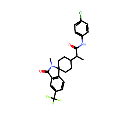 CC(C(=O)Nc1ccc(Cl)cc1)C1CCC2(CC1)c1ccc(C(F)(F)F)cc1C(=O)N2C